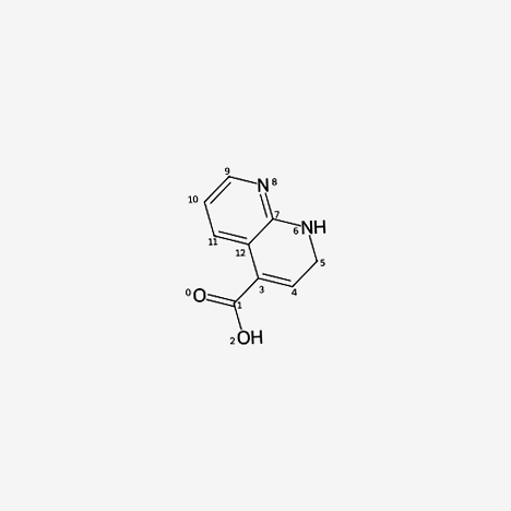 O=C(O)C1=CCNc2ncccc21